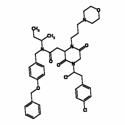 CCC(C)N(Cc1ccc(OCc2ccccc2)cc1)C(=O)CC1C(=O)N(C(Cl)Cc2ccc(Cl)cc2)CC(=O)N1CCCN1CCOCC1